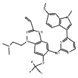 C=CC(=O)Nc1cc(Nc2nccc(-c3cn(C)c4cc(OC)ccc34)n2)c(OC(F)(F)F)cc1N(C)CCN(C)C